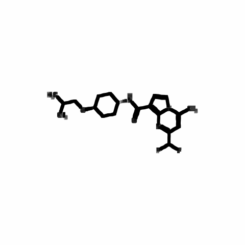 Cc1cc(C(F)F)nc2c(C(=O)N[C@H]3CC[C@H](OCC(C)C)CC3)ccn12